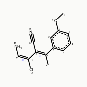 COc1cccc(/C(C)=C(C#N)/C(Cl)=C\N)c1